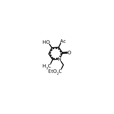 CCOC(=O)Cn1c(C)cc(O)c(C(C)=O)c1=O